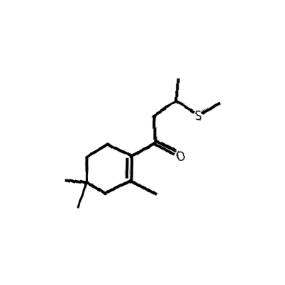 CSC(C)CC(=O)C1=C(C)CC(C)(C)CC1